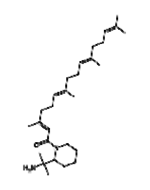 CC(C)=CCC/C(C)=C/CC/C(C)=C/CC/C(C)=C/C(=O)N1CCCCC1C(C)(C)N